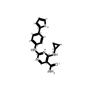 NC(=O)c1cnc(Nc2ccc(-c3cccs3)cc2)nc1NC1CC1